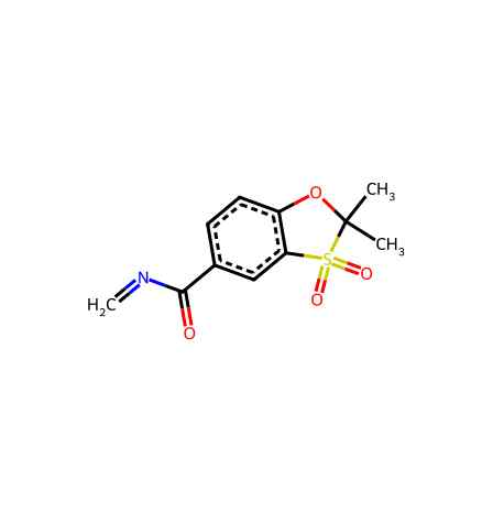 C=NC(=O)c1ccc2c(c1)S(=O)(=O)C(C)(C)O2